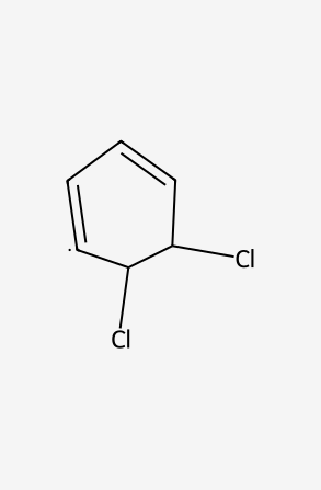 ClC1[C]=CC=CC1Cl